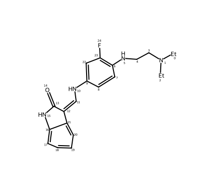 CCN(CC)CCNc1ccc(NC=C2C(=O)Nc3ccccc32)cc1F